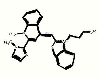 CN1C(c2nccn2C)=C/C(=C\c2sc3ccccc3[n+]2CCCS)c2ccccc21